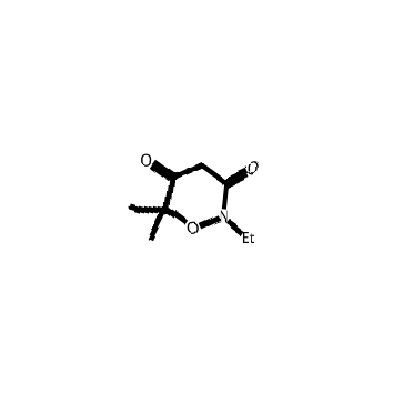 CCN1OC(C)(C)C(=O)CC1=O